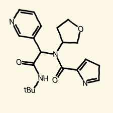 CC(C)(C)NC(=O)C(c1cccnc1)N(C(=O)C1=CCC=N1)C1CCOC1